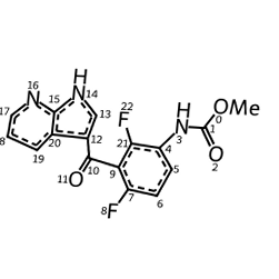 COC(=O)Nc1ccc(F)c(C(=O)c2c[nH]c3ncccc23)c1F